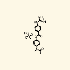 CC(=O)N(C)c1ccc(OC(=O)c2ccc(NC(=N)N)cc2)cc1.CS(=O)(=O)O